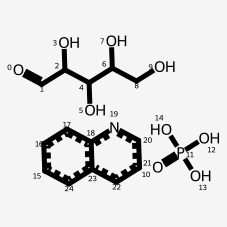 O=CC(O)C(O)C(O)CO.O=P(O)(O)O.c1ccc2ncccc2c1